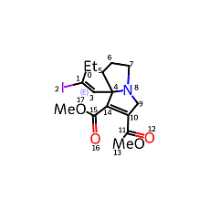 CC/C(I)=C\C12CCCN1CC(C(=O)OC)=C2C(=O)OC